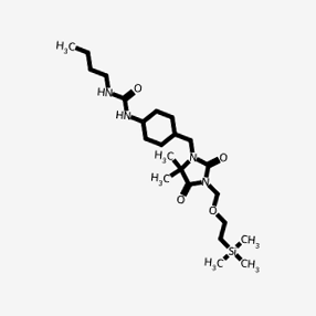 CCCCNC(=O)NC1CCC(CN2C(=O)N(COCC[Si](C)(C)C)C(=O)C2(C)C)CC1